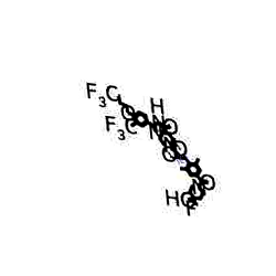 Cc1cc(C(=O)N2CCC(O)(CF)CC2)cc(C)c1/C=C/S(=O)(=O)N1CCC2(CC1)N=C(c1ccc(OCCCC(F)(F)F)c(C(F)(F)F)c1)NC2=O